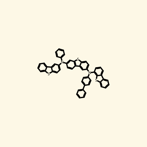 c1ccc(-c2ccc(N(c3ccc4sc5cc(N(c6ccccc6)c6ccc7sc8ccccc8c7c6)ccc5c4c3)c3cccc4c3sc3ccccc34)cc2)cc1